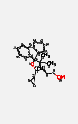 CC(C)(C)[Si](OC(CCCO)C1CC1)(c1ccccc1)c1ccccc1